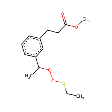 CCSOOC(C)c1cccc(CCC(=O)OC)c1